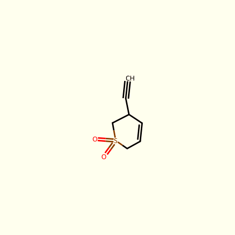 C#CC1C=CCS(=O)(=O)C1